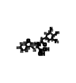 O=C(Cc1cc(F)c(F)c(F)c1)N[C@@H](Cc1coc2ccccc12)B(O)O